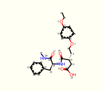 CCOc1ccc(OCC[C@H](CC(=O)O)C(=O)N[C@@H](Cc2ccccc2)C(=O)NC)cc1